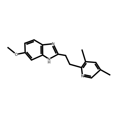 COc1ccc2nc(CCc3ncc(C)cc3C)[nH]c2c1